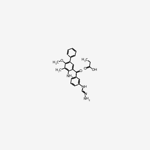 CCC(=O)O.COc1c(-c2ccccc2)cc(C(=O)c2cccc(NC=NN)c2)c(N)c1C